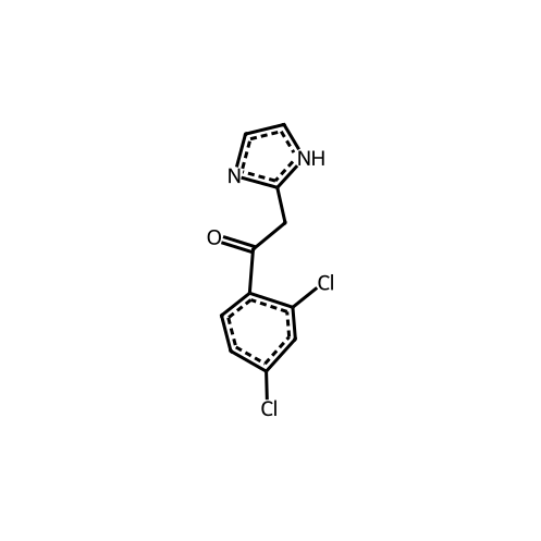 O=C(Cc1ncc[nH]1)c1ccc(Cl)cc1Cl